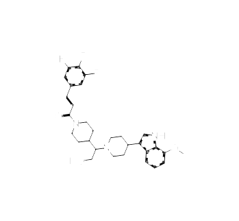 COc1cccc2c(C3CCN(C(CO)C4CCN(C(=O)C=Cc5cc(F)c(F)c(F)c5)CC4)CC3)c[nH]c12